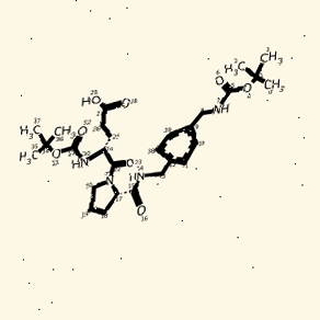 CC(C)(C)OC(=O)NCc1ccc(CNC(=O)[C@@H]2CCCN2C(=O)[C@@H](CCC(=O)O)NC(=O)OC(C)(C)C)cc1